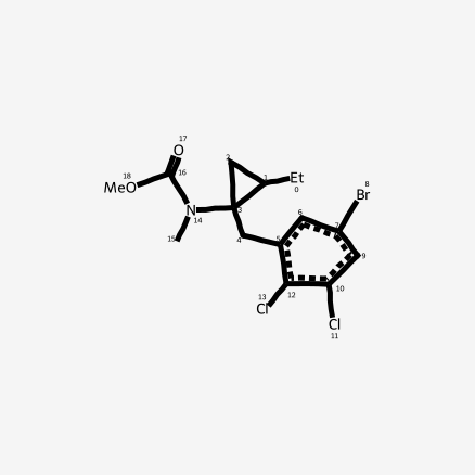 CCC1CC1(Cc1cc(Br)cc(Cl)c1Cl)N(C)C(=O)OC